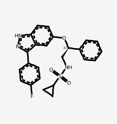 O=S(=O)(NC[C@@H](Oc1ccc2[nH]nc(-c3ccc(F)cc3)c2c1)c1ccccc1)C1CC1